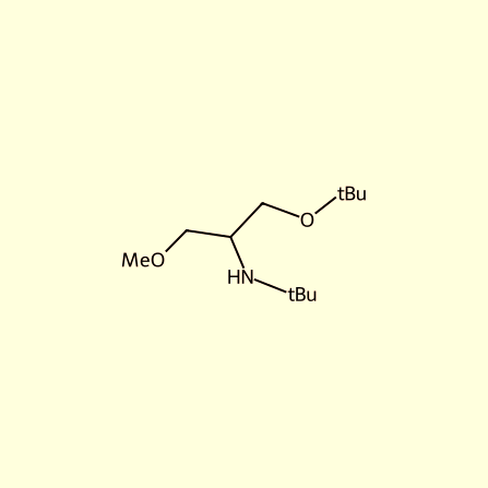 COCC(COC(C)(C)C)NC(C)(C)C